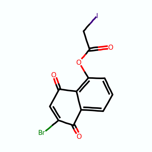 O=C(CI)Oc1cccc2c1C(=O)C=C(Br)C2=O